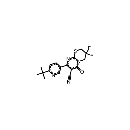 CC(C)(C)c1ccc(-c2nc3n(c(=O)c2C#N)CC(F)(F)CS3)cn1